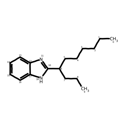 CCCCCCC(CCC)c1nc2ccccc2[nH]1